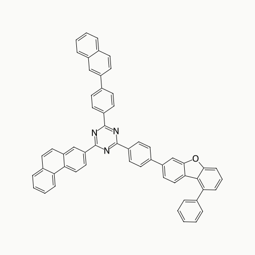 c1ccc(-c2cccc3oc4cc(-c5ccc(-c6nc(-c7ccc(-c8ccc9ccccc9c8)cc7)nc(-c7ccc8c(ccc9ccccc98)c7)n6)cc5)ccc4c23)cc1